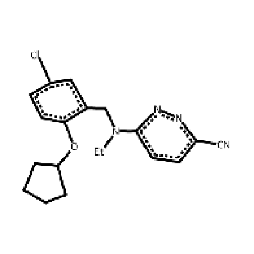 CCN(Cc1cc(Cl)ccc1OC1CCCC1)c1ccc(C#N)nn1